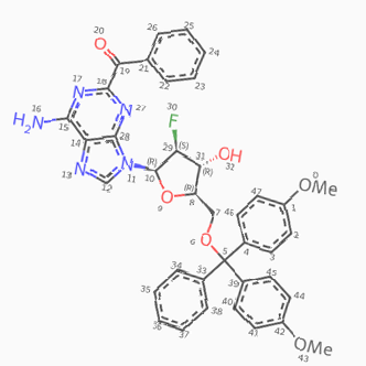 COc1ccc(C(OC[C@H]2O[C@@H](n3cnc4c(N)nc(C(=O)c5ccccc5)nc43)[C@@H](F)[C@@H]2O)(c2ccccc2)c2ccc(OC)cc2)cc1